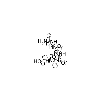 CCCC(NC(=O)[C@@H]1C[C@@H](OC(C)(C)C)CN1C(=O)[C@@H](NC(=O)c1cccc(C(=O)O)c1)C1CCCCC1)C(=O)C(=O)NCC(=O)N[C@H](C(N)=O)c1ccccc1